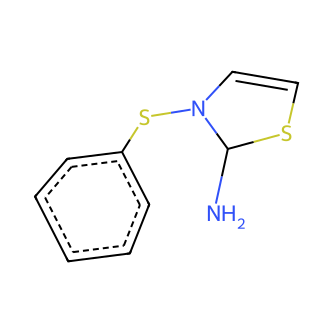 NC1SC=CN1Sc1ccccc1